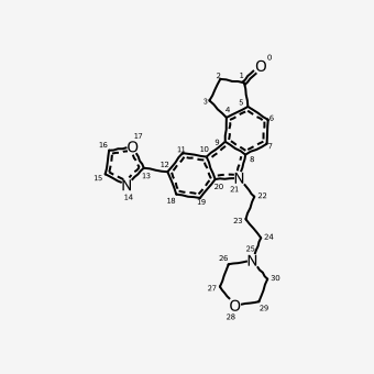 O=C1CCc2c1ccc1c2c2cc(-c3ncco3)ccc2n1CCCN1CCOCC1